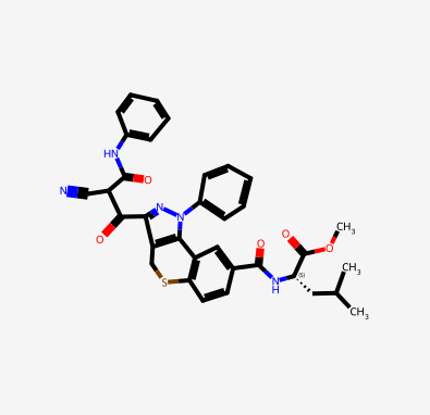 COC(=O)[C@H](CC(C)C)NC(=O)c1ccc2c(c1)-c1c(c(C(=O)C(C#N)C(=O)Nc3ccccc3)nn1-c1ccccc1)CS2